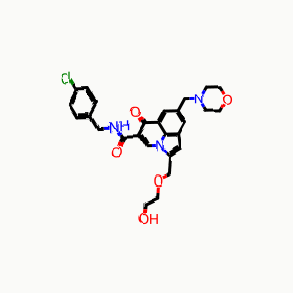 O=C(NCc1ccc(Cl)cc1)c1cn2c(COCCO)cc3cc(CN4CCOCC4)cc(c1=O)c32